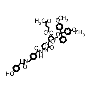 COc1ccc(C(OC[C@H]2O[C@@H](N3CCC(NC(=O)c4ccc(CNC(=O)Cc5ccc(O)cc5)cc4)=NC3=O)C[C@H]2OC(=O)CCC(C)=O)(c2ccccc2)c2ccc(OC)cc2)cc1